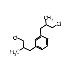 CC(CCl)Cc1[c]ccc(CC(C)CCl)c1